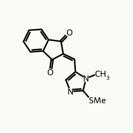 CSc1ncc(C=C2C(=O)c3ccccc3C2=O)n1C